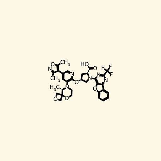 Cc1noc(C)c1-c1cnc(O[C@H]2C[C@@H](C(=O)O)N(c3nc(C(F)(F)F)nc4c3oc3ccccc34)C2)c(N2CCOC3(COC3)[C@@H]2C)c1